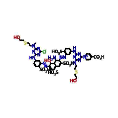 CN(CCSCCO)c1nc(Cl)nc(Nc2ccc(S(=O)(=O)O)c(/N=N/c3c(S(=O)(=O)O)cc4cc(S(=O)(=O)O)c(/N=N/c5cc(Nc6nc(N(C)CCSCCO)nc(-[n+]7ccc(C(=O)O)cc7)n6)ccc5S(=O)(=O)O)c(N)c4c3O)c2)n1